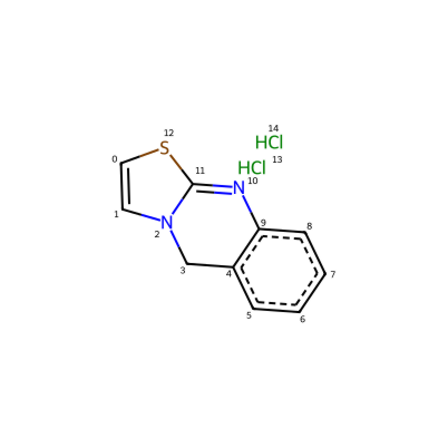 C1=CN2Cc3ccccc3N=C2S1.Cl.Cl